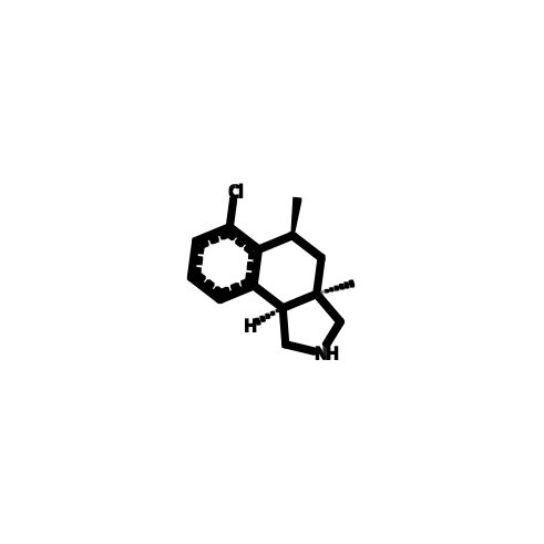 C[C@H]1C[C@@]2(C)CNC[C@H]2c2cccc(Cl)c21